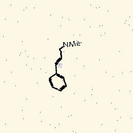 C[N]C/C=C/c1ccccc1